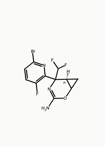 NC1=NC(c2nc(Br)ccc2F)(C(F)F)[C@H]2CC2O1